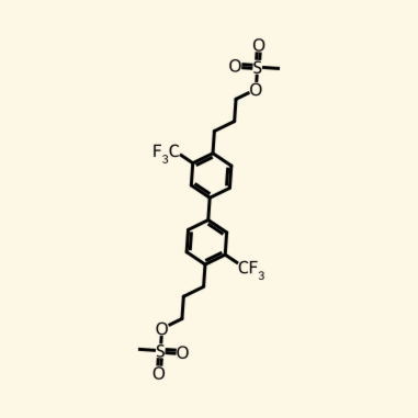 CS(=O)(=O)OCCCc1ccc(-c2ccc(CCCOS(C)(=O)=O)c(C(F)(F)F)c2)cc1C(F)(F)F